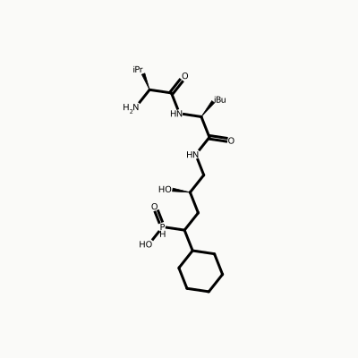 CCC(C)[C@H](NC(=O)[C@@H](N)C(C)C)C(=O)NC[C@H](O)CC(C1CCCCC1)[PH](=O)O